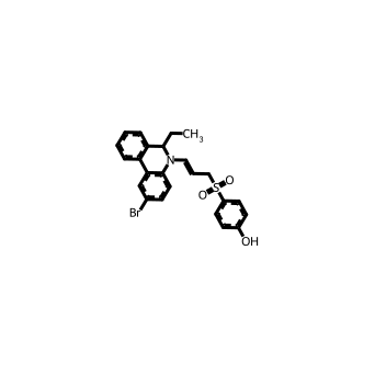 CCC1c2ccccc2-c2cc(Br)ccc2N1C=CCS(=O)(=O)c1ccc(O)cc1